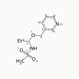 [CH2]CC(NS(C)(=O)=O)OCc1cccnc1